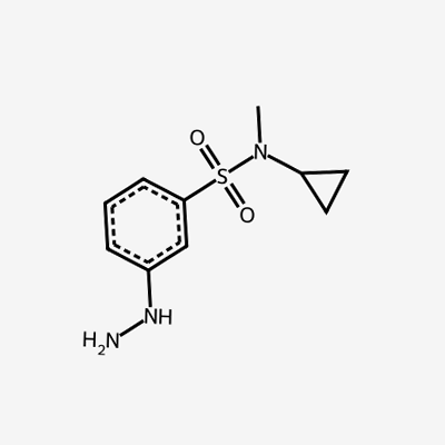 CN(C1CC1)S(=O)(=O)c1cccc(NN)c1